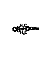 COc1cc(C)c(C#Cc2nc3ccccc3o2)c(C)c1